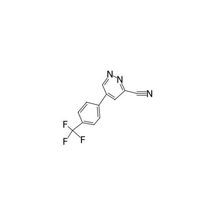 N#Cc1cc(-c2ccc(C(F)(F)F)cc2)cnn1